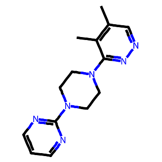 Cc1cnnc(N2CCN(c3ncccn3)CC2)c1C